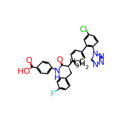 C=C(/C=C\C(=C/C)c1cc(Cl)ccc1-n1cnnn1)[C@@H](Cc1ccc(F)cc1)C(=O)Nc1ccc(C(=O)O)cc1